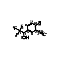 [C-]#[N+]c1cc(C(O)C(F)(F)F)ccc1F